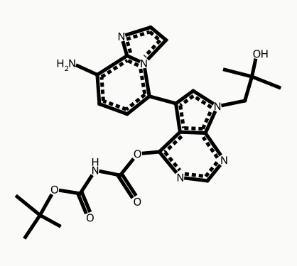 CC(C)(O)Cn1cc(-c2ccc(N)c3nccn23)c2c(OC(=O)NC(=O)OC(C)(C)C)ncnc21